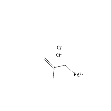 C=C(C)[CH2][Pd+2].[Cl-].[Cl-]